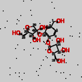 OCc1ccc(O[C@@H]2O[C@H](CO)[C@@H](O)[C@H]2O)c(OC2(O)CO[C@H](CO)C2O)c1